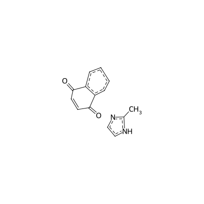 Cc1ncc[nH]1.O=C1C=CC(=O)c2ccccc21